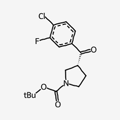 CC(C)(C)OC(=O)N1CC[C@@H](C(=O)c2ccc(Cl)c(F)c2)C1